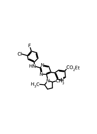 CCOC(=O)c1cncc(-c2cnc(Nc3ccc(F)c(Cl)c3)nc2N2C(C)CCC2C)c1